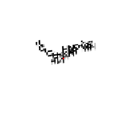 CC1CC(=O)NN=C1c1ccc2[nH]c(CCNCC(O)COc3ccc(CCOCC4CCC4)cc3)nc2c1.Cl.Cl